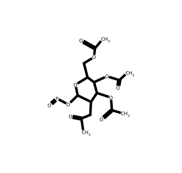 CC(=O)CC1C(OP=O)OC(COC(C)=O)C(OC(C)=O)C1OC(C)=O